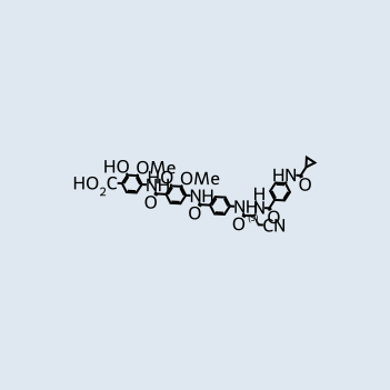 COc1c(NC(=O)c2ccc(NC(=O)c3ccc(NC(=O)[C@H](CC#N)NC(=O)c4ccc(NC(=O)C5CC5)cc4)cc3)c(OC)c2O)ccc(C(=O)O)c1O